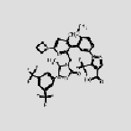 COc1ccc(-n2ncc(C(=O)O)c2C(F)(F)F)cc1-c1c(C)cc(N2CCC2)nc1CN1C(=O)O[C@H](c2cc(C(F)(F)F)cc(C(F)(F)F)c2)C1C